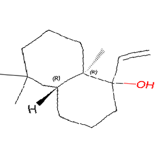 C=CC1(O)CCC[C@@H]2C(C)(C)CCC[C@]21C